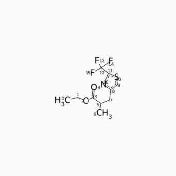 CCOC(=O)C(C)Cc1csc(C(F)(F)F)n1